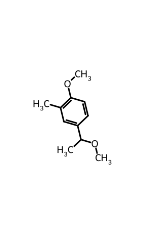 COc1ccc(C(C)OC)cc1C